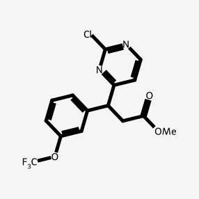 COC(=O)CC(c1cccc(OC(F)(F)F)c1)c1ccnc(Cl)n1